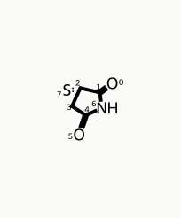 O=C1CCC(=O)N1.[S]